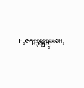 CCC(C)C.CCCCCCCCCCCCCCCCCCCCCC